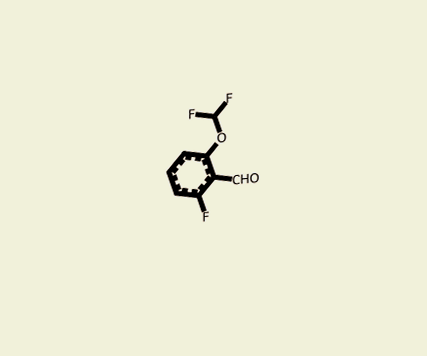 O=Cc1c(F)cccc1OC(F)F